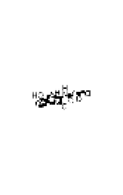 C=CC1(C(=O)O)CS[C@@H]2C(NC(=O)CC(=O)CCl)C(=O)N2C1